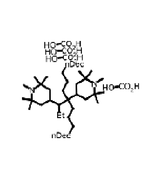 CCCCCCCCCCCCCC(CCCCCCCCCCCCC)(C1CC(C)(C)N(C)C(C)(C)C1)C(CC)C1CC(C)(C)N(C)C(C)(C)C1.O=C(O)O.O=C(O)O.O=C(O)O.O=C(O)O